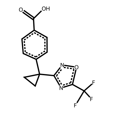 O=C(O)c1ccc(C2(c3noc(C(F)(F)F)n3)CC2)cc1